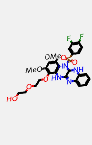 COc1cc(NC2=Nc3ccccc3NC2NS(=O)(=O)c2ccc(F)c(F)c2)c(OCCOCCO)c(OC)c1